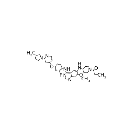 C=CC(=O)N1CCC(Nc2cc3c(Nc4ccc(Oc5ccnc(N6CC[C@H](C)C6)c5)cc4F)ncnc3cc2OC)CC1